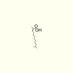 CC(=CCCCCCCCC(C)C)C(=O)O